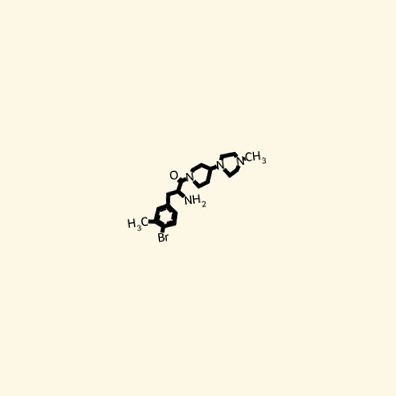 Cc1cc(CC(N)C(=O)N2CCC(N3CCN(C)CC3)CC2)ccc1Br